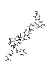 CN1CCN(CCC(CSc2ccccc2)Nc2ccc(S(=O)(=O)Nc3ncnc4cc(N5CCN(Cc6ccccc6-c6ccc(Cl)cc6)CC5)ccc34)cc2[N+](=O)[O-])CC1